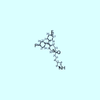 O=C(CCCC1CCNC1)N1CCC(=C(c2ccc(F)cc2)c2ccc(F)cc2)CC1